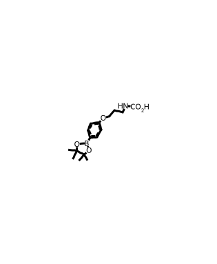 CC1(C)OB(c2ccc(OCCCNC(=O)O)cc2)OC1(C)C